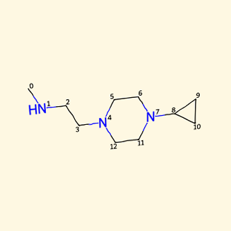 CNCCN1CCN(C2CC2)CC1